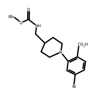 CC(C)(C)OC(=O)NCC1CCN(c2cc(Br)ccc2C(=O)O)CC1